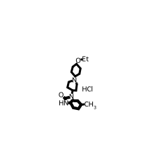 CCO[C@H]1CC[C@H](N2CCC(n3c(=O)[nH]c4ccc(C)cc43)CC2)CC1.Cl